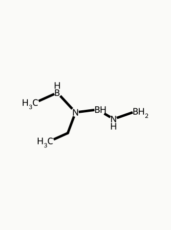 BNBN(BC)CC